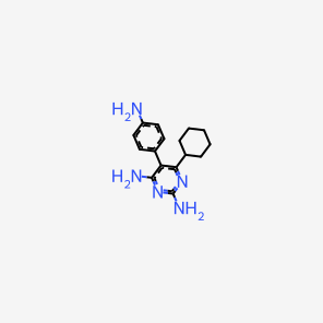 Nc1ccc(-c2c(N)nc(N)nc2C2CCCCC2)cc1